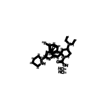 CCN(CC)C1CCN(C(=O)O)C(C=C2SC(N3CCCCN3)=NC2=O)(c2ccc(F)cc2)C1.Cl.Cl